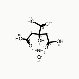 N.O=C(O)CC(O)(CC(=O)O)C(=O)O.[Cr]